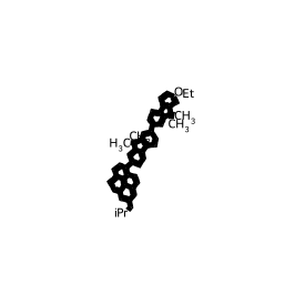 CCOc1ccc2c(c1)C(C)(C)c1cc(-c3ccc4c(c3)C(C)(C)c3cc(-c5ccc6ccc7cc(CC(C)C)cc8ccc5c6c78)ccc3-4)ccc1-2